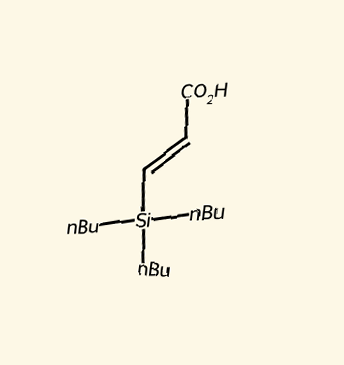 CCCC[Si](C=CC(=O)O)(CCCC)CCCC